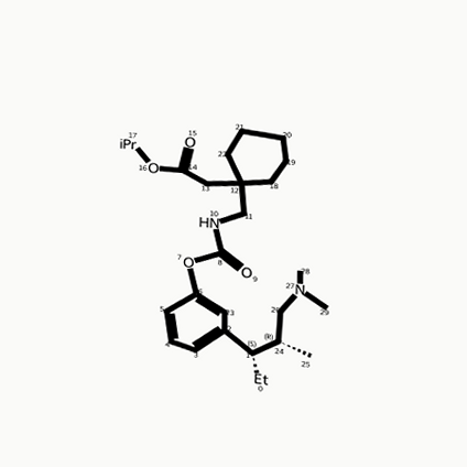 CC[C@H](c1cccc(OC(=O)NCC2(CC(=O)OC(C)C)CCCCC2)c1)[C@@H](C)CN(C)C